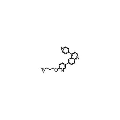 CN(C)CCCOc1ccc(-c2ccc3nccc(-c4ccncc4)c3c2)cn1